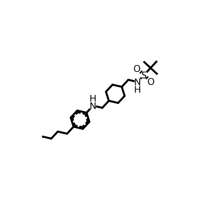 CCCCc1ccc(NCC2CCC(CNS(=O)(=O)C(C)(C)C)CC2)cc1